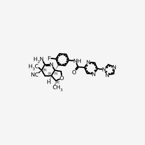 C[C@H]1OC[C@]2(c3cc(NC(=O)c4cnc(-n5cncn5)cn4)ccc3F)N=C(N)[C@](C)(C#N)C[C@H]12